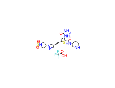 CS(=O)(=O)N1CCC(n2cc(C#Cc3cc(NC(N)=O)c(C(=O)N[C@H]4CCCCNC4)s3)cn2)CC1.O=C(O)C(F)(F)F